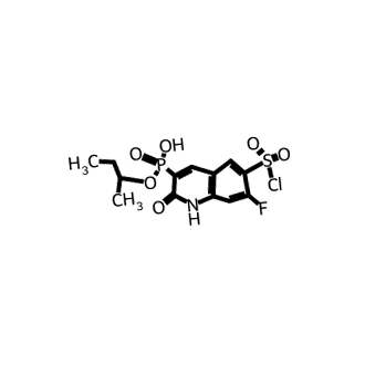 CCC(C)OP(=O)(O)c1cc2cc(S(=O)(=O)Cl)c(F)cc2[nH]c1=O